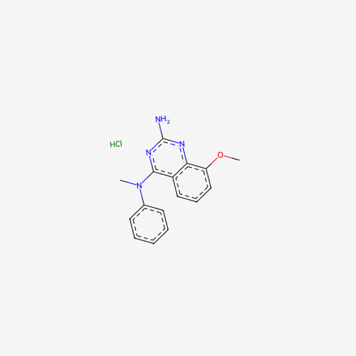 COc1cccc2c(N(C)c3ccccc3)nc(N)nc12.Cl